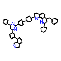 C1=CCCC(c2cc(Cc3ccccc3)c3ccc4ccc(-c5ccc(-c6ccc(-c7nc(-c8ccccc8)cc(-c8cccc(-c9cccc%10ccncc9%10)c8)n7)cc6)cc5)nc4c3n2)=C1